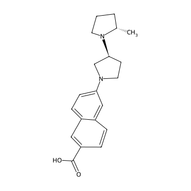 C[C@H]1CCCN1[C@H]1CCN(c2ccc3cc(C(=O)O)ccc3c2)C1